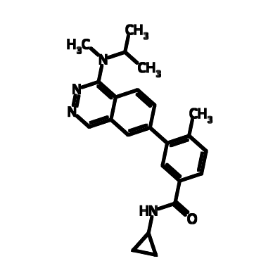 Cc1ccc(C(=O)NC2CC2)cc1-c1ccc2c(N(C)C(C)C)nncc2c1